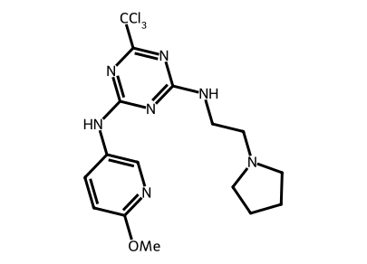 COc1ccc(Nc2nc(NCCN3CCCC3)nc(C(Cl)(Cl)Cl)n2)cn1